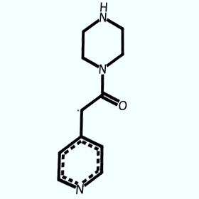 O=C([CH]c1ccncc1)N1CCNCC1